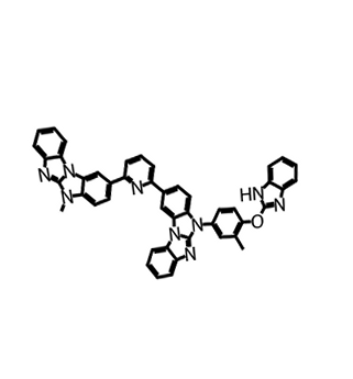 Cc1cc(-n2c3ccc(-c4cccc(-c5ccc6c(c5)n5c7ccccc7nc5n6C)n4)cc3n3c4ccccc4nc23)ccc1Oc1nc2ccccc2[nH]1